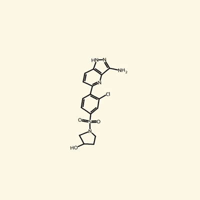 Nc1n[nH]c2ccc(-c3ccc(S(=O)(=O)N4CCC(O)C4)cc3Cl)nc12